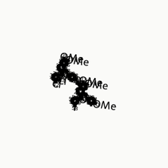 COc1ccc(OCC2c3cc(OC)c(OC)c(COc4ccc(OCC5c6cc(OC)c(OC)cc6CCN5C(=O)c5cccc(Cl)c5Cl)cc4)c3CCN2C(=O)c2cccc(I)c2)cc1